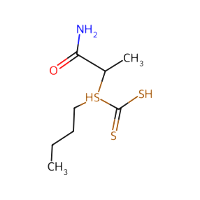 CCCC[SH](C(=S)S)C(C)C(N)=O